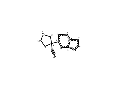 N#CC1(c2ccn3ccnc3c2)CCOC1